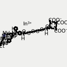 CCC(=O)NCCNC(=O)/N=C(/N)NCCCC(NC(=O)[C@H](c1ccccc1)c1ccc(NC(=O)CCOCCOCCOCCOCCNC(=O)CN2CCN(CC(=O)[O-])CCN(CC(=O)[O-])CCN(CC(=O)[O-])CC2)cc1)C(=O)NCc1ccc(O)cc1.[In+3]